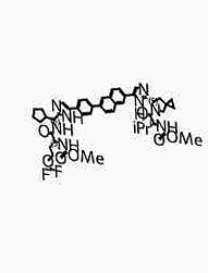 COC(=O)N[C@@H](CCOC(F)F)C(=O)N[C@H](c1ncc(-c2ccc(-c3ccc4cc(-c5cnc([C@@H]6CC7(CC7)CN6C(=O)[C@@H](NC(=O)OC)C(C)C)[nH]5)ccc4c3)cc2)[nH]1)C1CCCC1